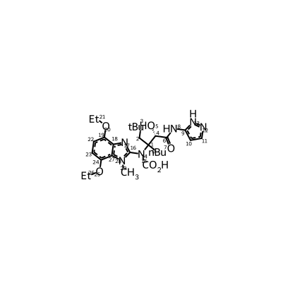 CCCCC(CC(C)(C)C)([C@H](O)C(=O)Nc1ccn[nH]1)N(C(=O)O)c1nc2c(OCC)ccc(OCC)c2n1C